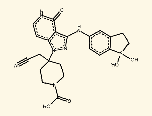 N#CCC1(n2nc(Nc3ccc4c(c3)CCS4(O)O)c3c(=O)[nH]ccc32)CCN(C(=O)O)CC1